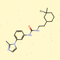 CCC1(C)CCCC(CCNC(=O)Nc2cccc(-n3ccnc3C)c2)C1